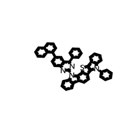 c1ccc(-c2nc(-n3c4ccccc4c4ccc5c(sc6c7ccccc7n(-c7ccccc7)c56)c43)nc3ccc(-c4cccc5ccccc45)cc23)cc1